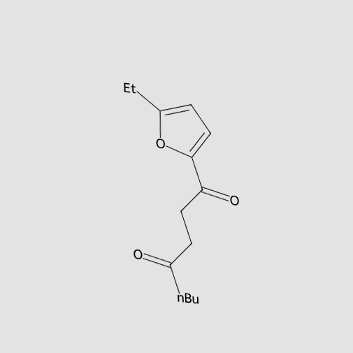 CCCCC(=O)CCC(=O)c1ccc(CC)o1